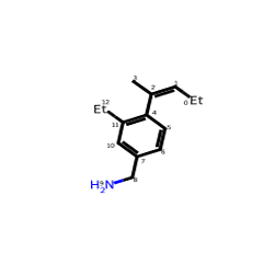 CC/C=C(/C)c1ccc(CN)cc1CC